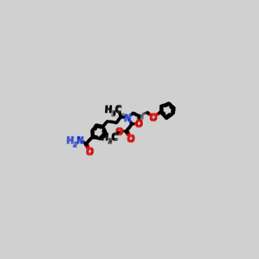 COC(=O)C1O[C@@H](COc2ccccc2)CN1[C@H](C)CCc1ccc(C(N)=O)cc1